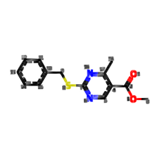 COC(=O)c1cnc(SCc2ccccc2)nc1C